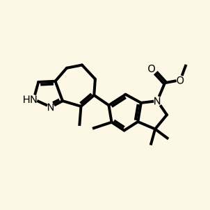 COC(=O)N1CC(C)(C)c2cc(C)c(C3=C(C)c4n[nH]cc4CCC3)cc21